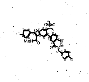 CNC(=O)c1c(-c2ccc(F)cc2)oc2cc(N(C)S(C)(=O)=O)c(-c3ccc4nnn(Cc5ccc(C)cn5)c(=O)c4c3)cc12